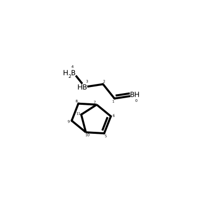 B=CCBB.C1=CC2CCC1C2